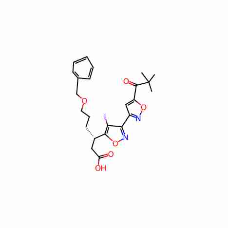 CC(C)(C)C(=O)c1cc(-c2noc([C@@H](CCCOCc3ccccc3)CC(=O)O)c2I)no1